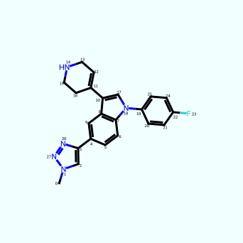 Cn1cc(-c2ccc3c(c2)c(C2=CCNCC2)cn3-c2ccc(F)cc2)nn1